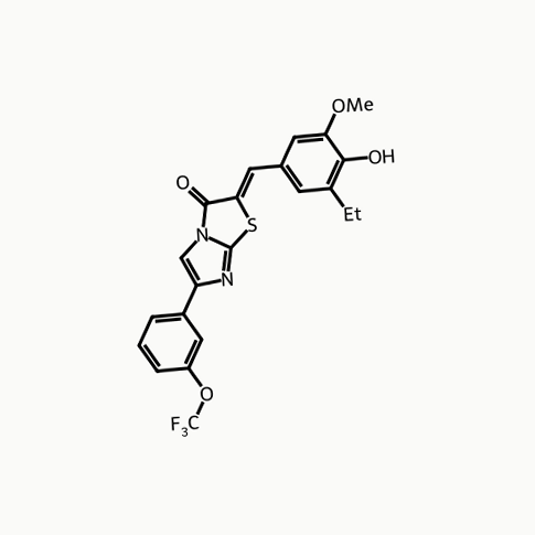 CCc1cc(/C=c2\sc3nc(-c4cccc(OC(F)(F)F)c4)cn3c2=O)cc(OC)c1O